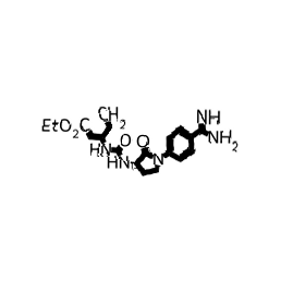 C=CC(CC(=O)OCC)NC(=O)N[C@H]1CCN(c2ccc(C(=N)N)cc2)C1=O